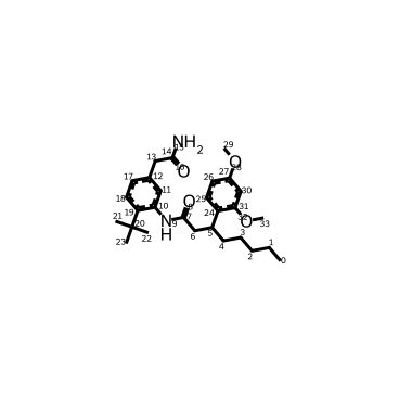 CCCCCC(CC(=O)Nc1cc(CC(N)=O)ccc1C(C)(C)C)c1ccc(OC)cc1OC